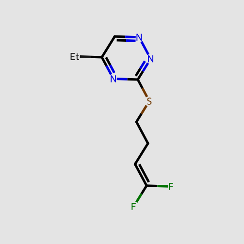 CCc1cnnc(SCCC=C(F)F)n1